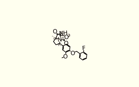 COc1cc([C@H]2CC[C@@](C)(C(N)=O)[N+]2(C(=O)[O-])C(C)(C)C)ccc1OCc1ccccc1F